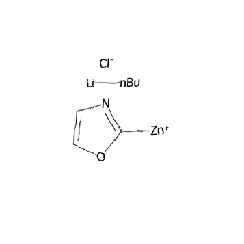 [Cl-].[Li][CH2]CCC.[Zn+][c]1ncco1